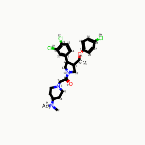 CC(=O)N(C)C1CCN(CC(=O)N2CC(c3ccc(Cl)c(Cl)c3)C([C@@H](C)Oc3ccc(Cl)cc3)C2)CC1